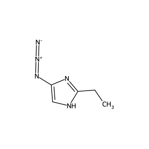 CCc1nc(N=[N+]=[N-])c[nH]1